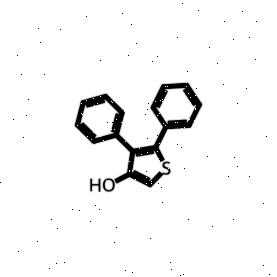 Oc1csc(-c2ccccc2)c1-c1ccccc1